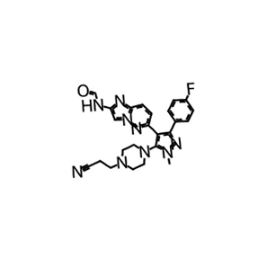 Cn1nc(-c2ccc(F)cc2)c(-c2ccc3nc(NC=O)cn3n2)c1N1CCN(CCC#N)CC1